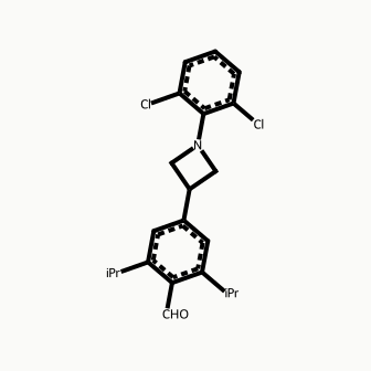 CC(C)c1cc(C2CN(c3c(Cl)cccc3Cl)C2)cc(C(C)C)c1C=O